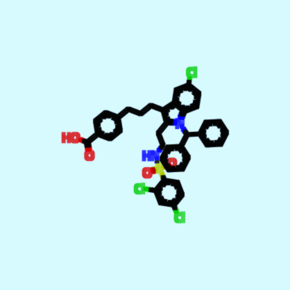 O=C(O)c1ccc(CCCc2c(CCNS(=O)(=O)c3ccc(Cl)cc3Cl)n(C(c3ccccc3)c3ccccc3)c3ccc(Cl)cc23)cc1